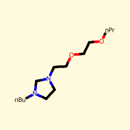 CCCCN1CCN(CCOCCOCCC)C1